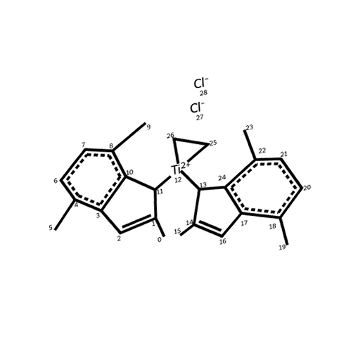 CC1=Cc2c(C)ccc(C)c2[CH]1[Ti+2]1([CH]2C(C)=Cc3c(C)ccc(C)c32)[CH2][CH2]1.[Cl-].[Cl-]